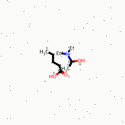 CCCCC(=O)O.CCN(CC)C(C)O